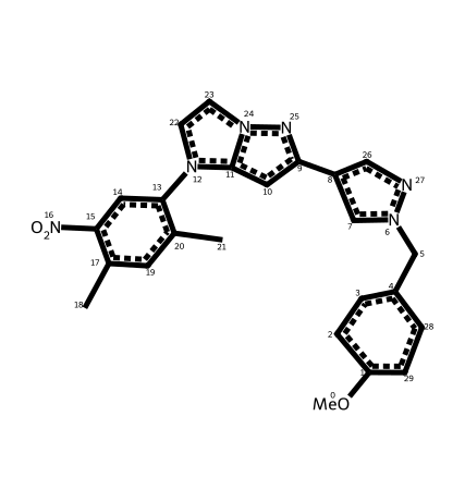 COc1ccc(Cn2cc(-c3cc4n(-c5cc([N+](=O)[O-])c(C)cc5C)ccn4n3)cn2)cc1